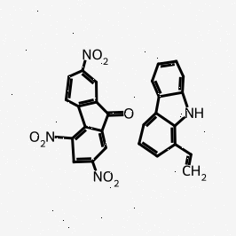 C=Cc1cccc2c1[nH]c1ccccc12.O=C1c2cc([N+](=O)[O-])ccc2-c2c1cc([N+](=O)[O-])cc2[N+](=O)[O-]